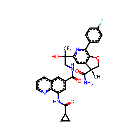 C[C@]1(C(N)=O)COc2c1cc(C(O)(CNC(=O)c1cc(NC(=O)C3CC3)c3ncccc3c1)C(F)(F)F)nc2-c1ccc(F)cc1